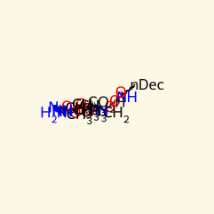 C=C(COCCOCCNC(=O)CCCCCCCCCCCCCCC)NCCCC[C@H](CC(=O)C(C)(C)CC(=O)C(C)(C)CC(=O)C(C)(C)NC(=O)[C@@H](N)Cc1cnc[nH]1)C(=O)O